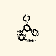 CNc1ccnc(Nc2cc(N3CCOCC3)cc(N3CCOCC3)c2)n1